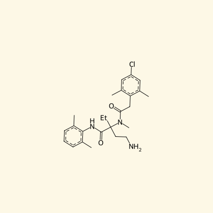 CCC(CCN)(C(=O)Nc1c(C)cccc1C)N(C)C(=O)Cc1c(C)cc(Cl)cc1C